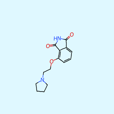 O=C1NC(=O)c2c(OCCN3CCCC3)cccc21